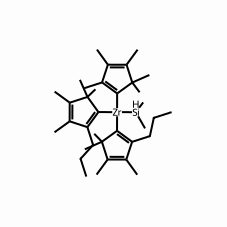 CCCC1=[C]([Zr]([C]2=C(C)C(C)=C(C)C2(C)C)([C]2=C(CCC)C(C)=C(C)C2(C)C)[SiH](C)C)C(C)(C)C(C)=C1C